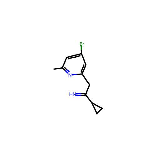 Cc1cc(Br)cc(CC(=N)C2CC2)n1